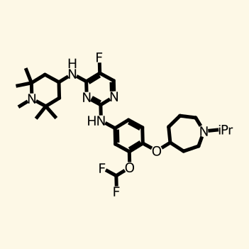 CC(C)N1CCCC(Oc2ccc(Nc3ncc(F)c(NC4CC(C)(C)N(C)C(C)(C)C4)n3)cc2OC(F)F)CC1